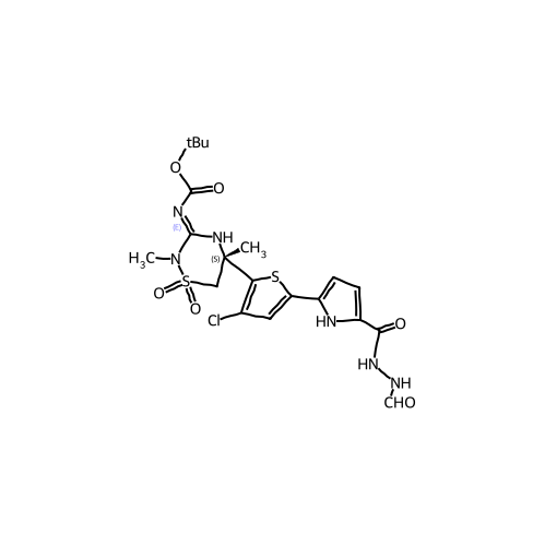 CN1/C(=N/C(=O)OC(C)(C)C)N[C@](C)(c2sc(-c3ccc(C(=O)NNC=O)[nH]3)cc2Cl)CS1(=O)=O